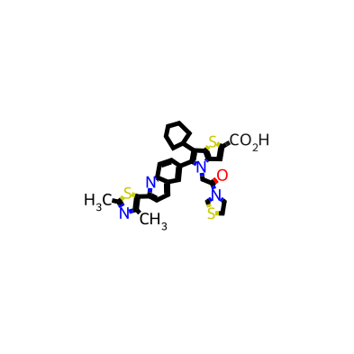 Cc1nc(C)c(-c2ccc3cc(-c4c(C5CCCCC5)c5sc(C(=O)O)cc5n4CC(=O)N4CCSC4)ccc3n2)s1